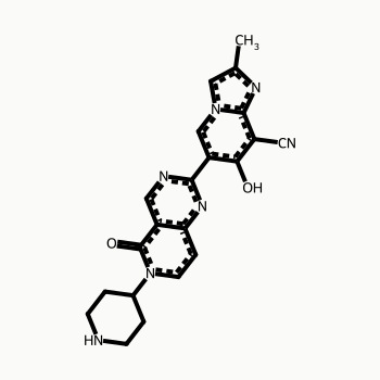 Cc1cn2cc(-c3ncc4c(=O)n(C5CCNCC5)ccc4n3)c(O)c(C#N)c2n1